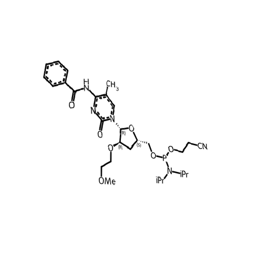 COCCO[C@@H]1C[C@@H](COP(OCCC#N)N(C(C)C)C(C)C)O[C@H]1n1cc(C)c(NC(=O)c2ccccc2)nc1=O